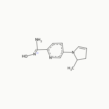 CC1CC=CN1c1ccc(/C(N)=N/O)nc1